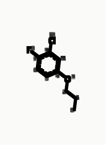 CC[CH]Oc1ccc(F)c(Cl)c1